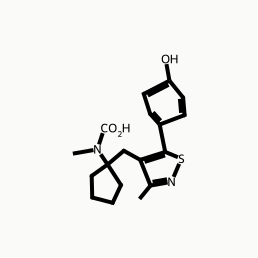 Cc1nsc(-c2ccc(O)cc2)c1CC1(N(C)C(=O)O)CCCC1